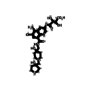 Nc1c(Cl)cc(C(=O)NCC2(O)CCN(CC3(O)CCOCC3)CC2)c2ncc(OC(=O)C(O)C(O)C(=O)O)cc12